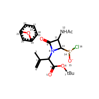 C=C(C)C(C(=O)OC(C)(C)C)N1C(=O)C(NC(C)=O)C1[S+]([O-])Cl.c1cc2cc(c1)O2